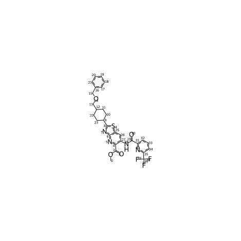 COC(=O)c1nc2nc(C3CCC(COCc4ccccc4)CC3)sc2cc1NC(=O)c1cccc(C(F)(F)F)n1